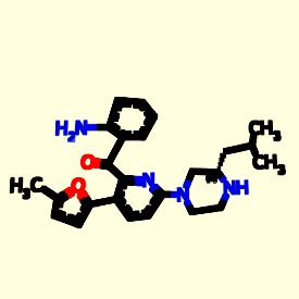 Cc1ccc(-c2ccc(N3CCN[C@@H](CC(C)C)C3)nc2C(=O)c2ccccc2N)o1